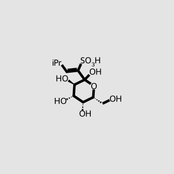 CC(C)C=C(C1(O)O[C@H](CO)[C@H](O)[C@H](O)[C@H]1O)S(=O)(=O)O